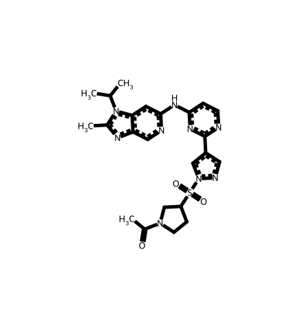 CC(=O)N1CCC(S(=O)(=O)n2cc(-c3nccc(Nc4cc5c(cn4)nc(C)n5C(C)C)n3)cn2)C1